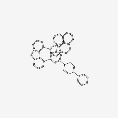 C1=CC(c2nc(-c3ccccc3)nc(-c3cccc4oc5cccc(-c6ccc7ccc8ccccc8c7c6)c5c34)n2)CC=C1c1ccccc1